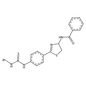 CC(C)NC(=S)Nc1ccc(C2=NC(NC(=O)c3ccccc3)CS2)cc1